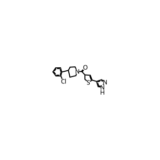 O=C(C1C=C(c2cn[nH]c2)SC1)N1CCC(c2ccccc2Cl)CC1